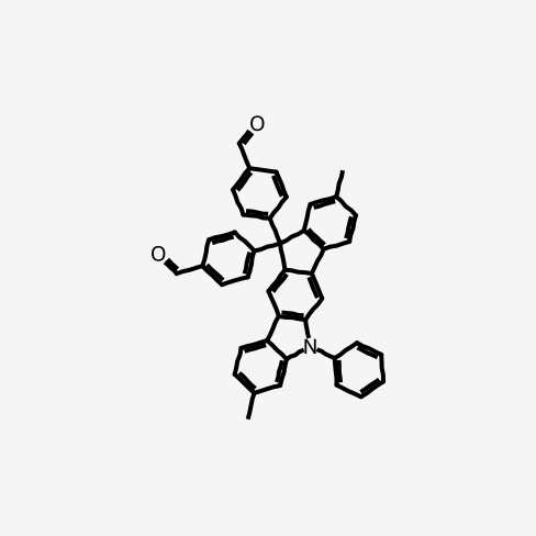 Cc1ccc2c(c1)C(c1ccc(C=O)cc1)(c1ccc(C=O)cc1)c1cc3c4ccc(C)cc4n(-c4ccccc4)c3cc1-2